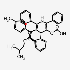 Cc1ccc(COc2ccccc2C2C(OC(=O)O)=C(c3ccccc3)NC(c3ccccc3)=C2OC(=O)OCC(C)C)cc1